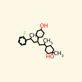 CC(CC(CC(C)C1CCC(C)(O)CC1)C1CCC(O)CC1)c1ccccc1F